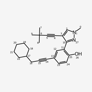 Cn1cc(C#CC(C)(C)C)c(-c2cc(C#CCC3CCCCC3)ccc2O)n1